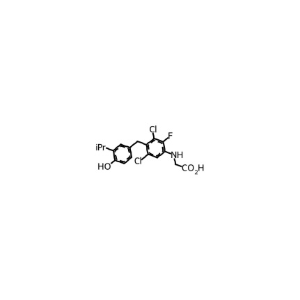 CC(C)c1cc(Cc2c(Cl)cc(NCC(=O)O)c(F)c2Cl)ccc1O